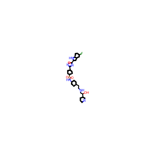 O=S(=O)(Nc1ccc(CCNCC(O)c2cccnc2)cc1)c1ccc(-c2noc(-c3cc4cc(F)ccc4[nH]3)n2)cc1